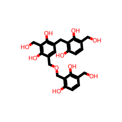 OCc1ccc(O)c(COCc2cc(Cc3c(O)ccc(CO)c3O)c(O)c(CO)c2O)c1O